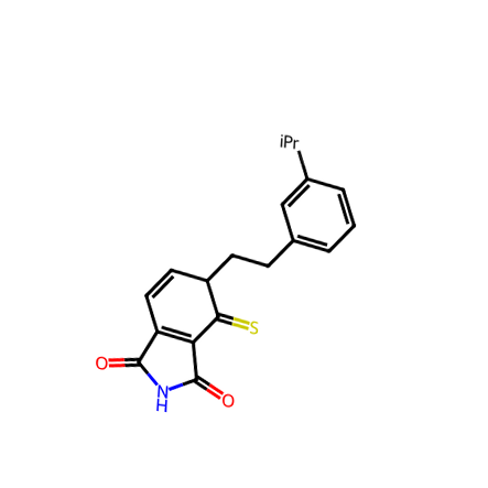 CC(C)c1cccc(CCC2C=CC3=C(C(=O)NC3=O)C2=S)c1